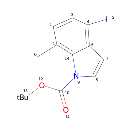 Cc1ccc(I)c2ccn(C(=O)OC(C)(C)C)c12